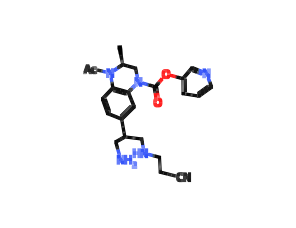 CC(=O)N1c2ccc(C(CN)CNCCC#N)cc2N(C(=O)Oc2cccnc2)C[C@@H]1C